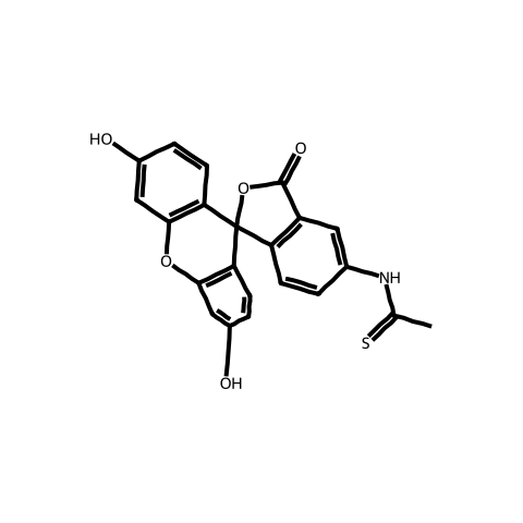 CC(=S)Nc1ccc2c(c1)C(=O)OC21c2ccc(O)cc2Oc2cc(O)ccc21